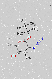 CCC1O[C@@H](O[Si](C)(C)C(C)(C)C(C)C)C(N=[N+]=[N-])[C@@H](C)[C@@H]1O